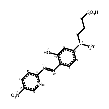 CCCN(CCCS(=O)(=O)O)c1ccc(N=Nc2ccc([N+](=O)[O-])cn2)c(O)c1